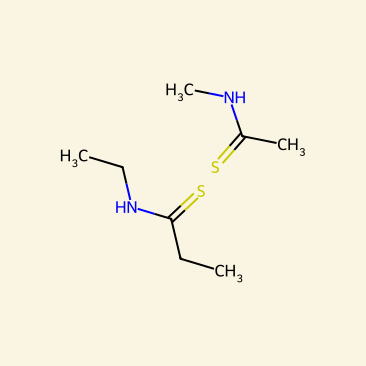 CCNC(=S)CC.CNC(C)=S